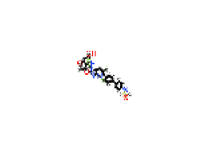 CS(C)(=O)=Nc1ccc(-c2ccc(-c3nc4nc(O[C@@H]5CO[C@H](CCO)C5(F)F)[nH]c4cc3F)c(F)c2)cc1